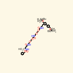 CC(C)(C)[Si](C)(C)OCc1ccc(-c2ccc(CO[Si](C)(C)C(C)(C)C)c(CCCNC(=O)COCCOCCNC(=O)COCCOCCNC(=O)CCC(NC(=O)OCc3ccccc3)C(=O)O)c2)cc1